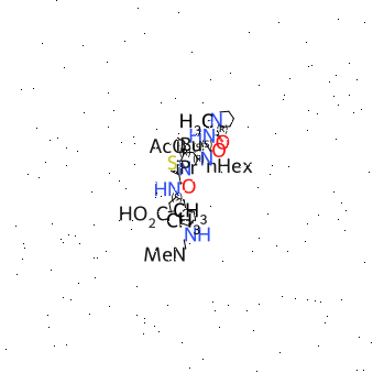 CCCCCCN(C(=O)[C@@H](NC(=O)[C@H]1CCCCN1C)[C@@H](C)CC)[C@H](C[C@@H](OC(C)=O)c1nc(C(=O)N[C@@H](Cc2ccc(NCCNC)cc2)CC(C)(C)C(=O)O)cs1)C(C)C